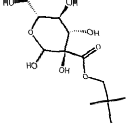 CC(C)(C)COC(=O)[C@]1(O)[C](O)O[C@H](CO)[C@@H](O)[C@@H]1O